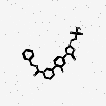 CS(=O)(=O)OC[C@H]1CN(c2ccc(C3=CN(C(=O)OCc4ccccc4)CCC3)c(F)c2)C(=O)O1